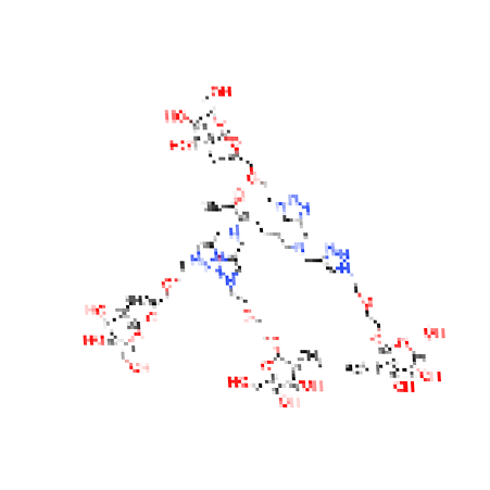 CC(=O)N[C@H]1[C@H](OCCOCCn2cc(CN(CCCC[C@@H](C(=O)C(C)(C)C)N(Cc3cn(CCOCCOC4O[C@H](CO)[C@H](O)[C@H](O)[C@H]4C)nn3)Cc3cn(CCOCCO[C@@H]4O[C@H](CO)[C@H](O)[C@H](O)[C@H]4NC(C)=O)nn3)Cc3cn(CCOCCO[C@@H]4O[C@H](CO)[C@H](O)[C@H](O)[C@H]4NC(C)=O)nn3)nn2)O[C@H](CO)[C@H](O)[C@@H]1O